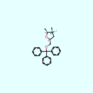 C[C@@H]1O[C@H](COC(c2ccccc2)(c2ccccc2)c2ccccc2)C[C@@]1(C)F